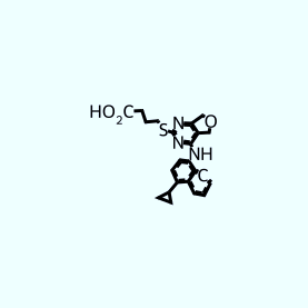 O=C(O)CCCSc1nc2c(c(Nc3ccc(C4CC4)c4ccccc34)n1)COC2